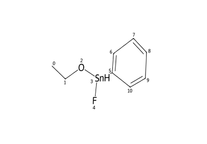 CC[O][SnH]([F])[c]1ccccc1